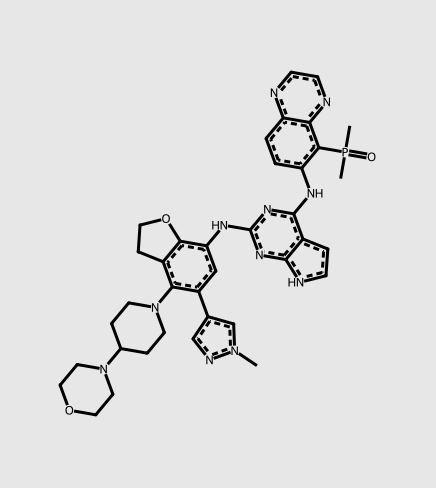 Cn1cc(-c2cc(Nc3nc(Nc4ccc5nccnc5c4P(C)(C)=O)c4cc[nH]c4n3)c3c(c2N2CCC(N4CCOCC4)CC2)CCO3)cn1